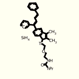 CCCC(=O)NCCO[CH2][Ti][CH]1C(C)=C(C)c2cc(C(=CC=Cc3ccccc3)c3ccccc3)ccc21.[SiH4]